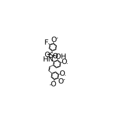 COc1ccc(S(=O)(=O)Nc2c(/C=C\c3cc(OC)c(OC)c(OC)c3)ccc(OC)c2O)cc1F